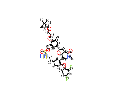 Cc1cc(-c2cc3c(=O)n(C)cc(-c4cc(CCN[SH](=O)=O)ccc4Oc4ccc(F)cc4F)c3o2)cc(C)c1OCCO[Si](C)(C)C(C)(C)C